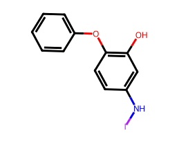 Oc1cc(NI)ccc1Oc1ccccc1